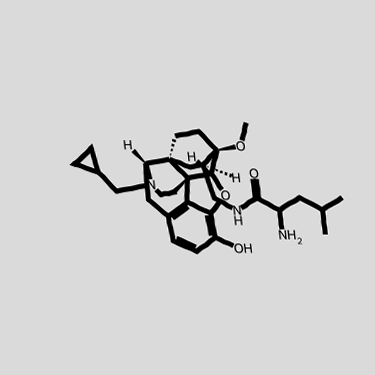 CO[C@]12CC[C@@]3(C[C@@H]1CNC(=O)C(N)CC(C)C)[C@H]1Cc4ccc(O)c5c4[C@@]3(CCN1CC1CC1)[C@H]2O5